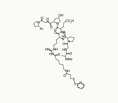 CNC(C)C(=O)NCC(=O)N1CCCC1C(=O)NC(CCCNC(=N)NC(=O)CCCCCNC(=O)CCSSc1ccccn1)C(=O)NC(CCC(=O)O)C(=O)N1CC(O)CC1C(=O)NCC(=O)N1CCCC1C(C)=O